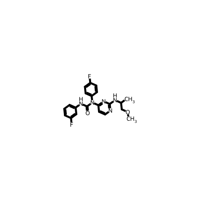 COCC(C)Nc1nccc(N(C(=O)Nc2cccc(F)c2)c2ccc(F)cc2)n1